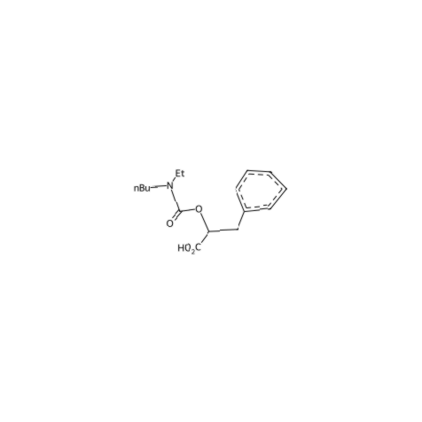 CCCCN(CC)C(=O)OC(Cc1ccccc1)C(=O)O